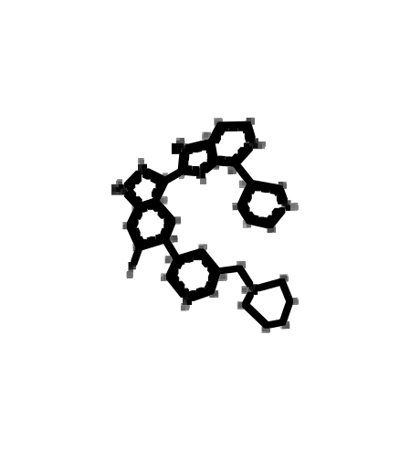 Fc1cc2[nH]nc(-c3nc4c(-c5cccnc5)nccc4[nH]3)c2cc1-c1cncc(CN2CCCCC2)c1